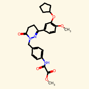 COC(=O)C(=O)Nc1ccc(CN2N=C(c3ccc(OC)c(OC4CCCC4)c3)CCC2=O)cc1